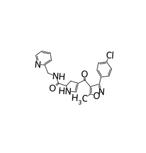 Cc1onc(-c2ccc(Cl)cc2)c1C(=O)C1=CNC(C(=O)NCc2ccccn2)C1